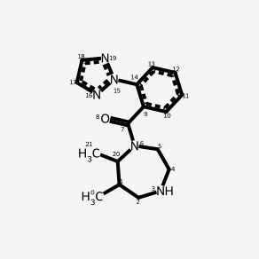 CC1CNCCN(C(=O)c2ccccc2-n2nccn2)C1C